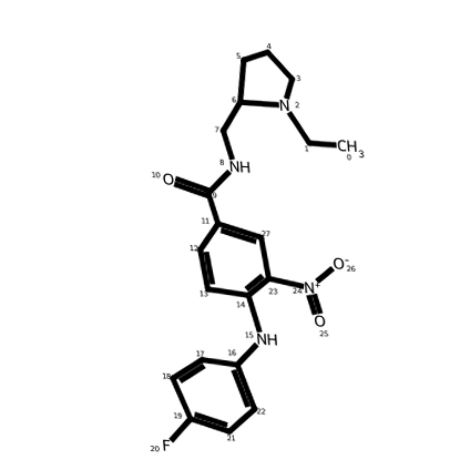 CCN1CCCC1CNC(=O)c1ccc(Nc2ccc(F)cc2)c([N+](=O)[O-])c1